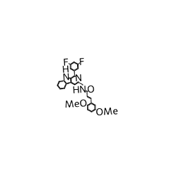 COc1ccc(OC)c(/C=C/C(=O)NCc2cc3c([nH]c4ccccc43)c(-c3cc(F)cc(F)c3)n2)c1